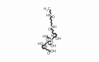 CCCCNC(=O)CCCCCNC(=O)CCc1ccc(O)c(CN(CCN(CC(=O)O)Cc2nc(CCC(=O)O)ccc2O)CC(=O)O)n1